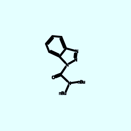 CCCCN(CCCC)C(=O)n1nnc2ccccc21